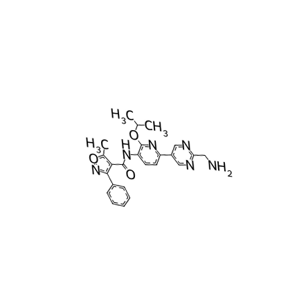 Cc1onc(-c2ccccc2)c1C(=O)Nc1ccc(-c2cnc(CN)nc2)nc1OC(C)C